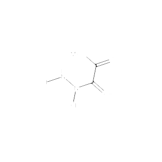 C=C(C(=O)OC)N(C)NI